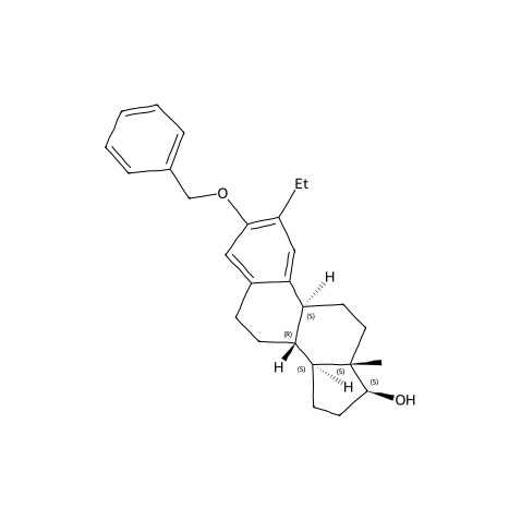 CCc1cc2c(cc1OCc1ccccc1)CC[C@@H]1[C@@H]2CC[C@]2(C)[C@@H](O)CC[C@@H]12